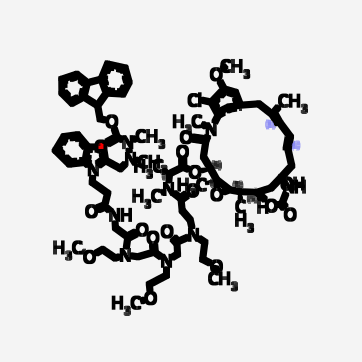 COCCN(CCC(=O)N(C)[C@@H](C)C(=O)O[C@H]1CC(=O)N(C)c2cc(cc(OC)c2Cl)C/C(C)=C/C=C/C[C@@]2(O)C[C@H](OC(=O)N2)[C@@H](C)C2O[C@]21C)C(=O)CN(CCOC)C(=O)CN(CCOC)C(=O)CNC(=O)CCn1c(CN(C)N(C)C(=O)OCC2c3ccccc3-c3ccccc32)cc2ccccc21